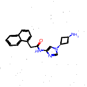 N[C@H]1C[C@@H](n2cnc(NC(=O)Cc3cccc4ccccc34)c2)C1